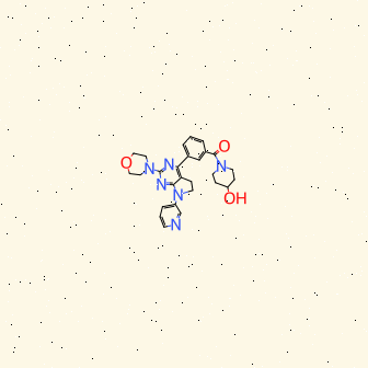 O=C(c1cccc(-c2nc(N3CCOCC3)nc3c2CCN3c2cccnc2)c1)N1CCC(O)CC1